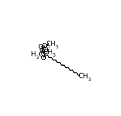 CCCCCCCCC=CCCCCCCCC(=O)[N+](C)(C)OP(=O)([O-])OCC